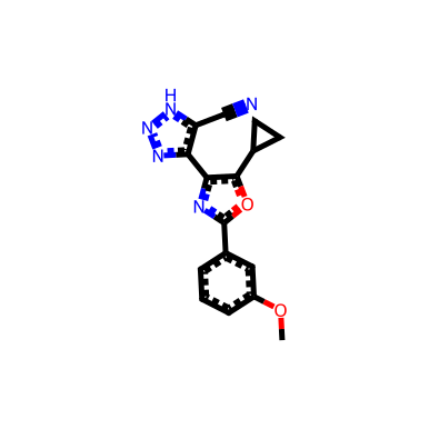 COc1cccc(-c2nc(-c3nn[nH]c3C#N)c(C3CC3)o2)c1